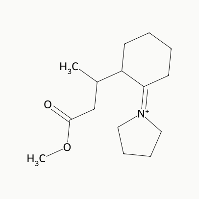 COC(=O)CC(C)C1CCCCC1=[N+]1CCCC1